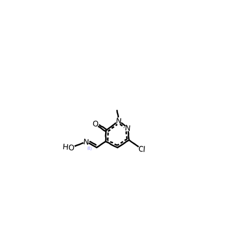 Cn1nc(Cl)cc(/C=N/O)c1=O